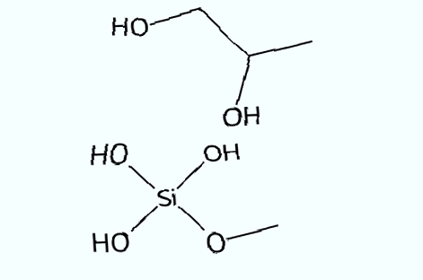 CC(O)CO.CO[Si](O)(O)O